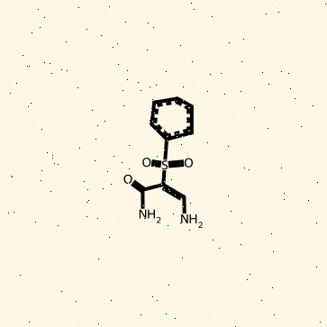 NC=C(C(N)=O)S(=O)(=O)c1ccccc1